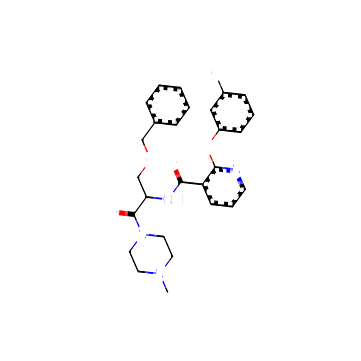 CN1CCN(C(=O)C(COCc2ccccc2)NC(=O)c2cccnc2Oc2cccc(C(F)(F)F)c2)CC1